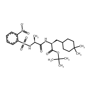 C[C@H](NS(=O)(=O)c1ccccc1[N+](=O)[O-])C(=O)N[C@@H](CC1CCC(C)(C)CC1)C(=O)OC(C)(C)C